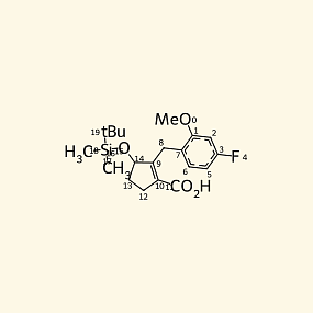 COc1cc(F)ccc1CC1=C(C(=O)O)CCC1O[Si](C)(C)C(C)(C)C